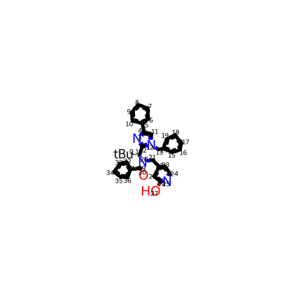 CC(C)(C)[C@H](c1nc(-c2ccccc2)cn1Cc1ccccc1)N(Cc1ccnc(O)c1)C(=O)c1ccccc1